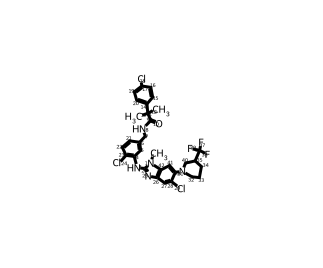 Cn1c(Nc2cc(CNC(=O)C(C)(C)c3ccc(Cl)cc3)ccc2Cl)nc2cc(Cl)c(N3CCCC(C(F)(F)F)C3)cc21